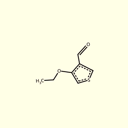 CCOc1cscc1C=O